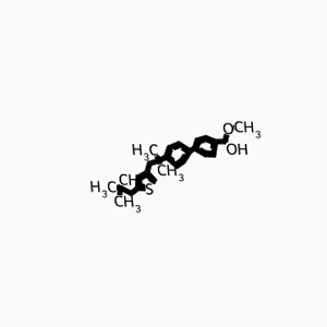 COC(O)c1ccc(-c2ccc(C(C)(C)Cc3csc(CC(C)(C)C)c3)cc2)cc1